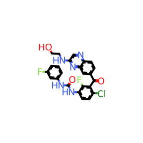 O=C(Nc1cccc(F)c1)Nc1ccc(Cl)c(C(=O)c2ccc3ncc(NCCO)nc3c2)c1F